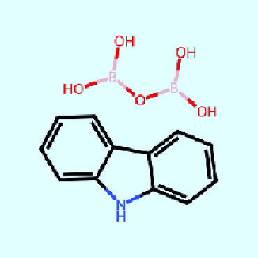 OB(O)OB(O)O.c1ccc2c(c1)[nH]c1ccccc12